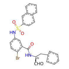 O=C[C@H](Cc1ccccc1)NC(=O)c1cc(NS(=O)(=O)c2ccc3ccccc3c2)ccc1Br